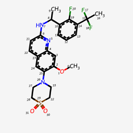 COc1cc2nc(NC(C)c3cccc(C(C)(F)F)c3F)ccc2cc1N1CCS(=O)(=O)CC1